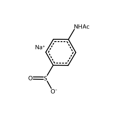 CC(=O)Nc1ccc(S(=O)[O-])cc1.[Na+]